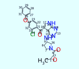 CC1OC1C(=O)N1CCC(Nc2ncnc3[nH]cc(C(=O)c4ccc(Oc5ccccc5)cc4Cl)c23)C1